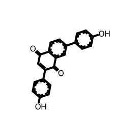 O=C1C=C(c2ccc(O)cc2)C(=O)c2cc(-c3ccc(O)cc3)ccc21